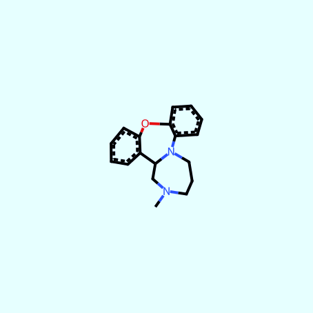 CN1CCCN2c3ccccc3Oc3ccccc3C2C1